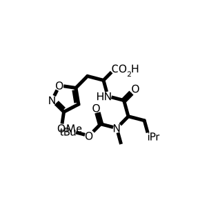 COc1cc(CC(NC(=O)C(CC(C)C)N(C)C(=O)OC(C)(C)C)C(=O)O)on1